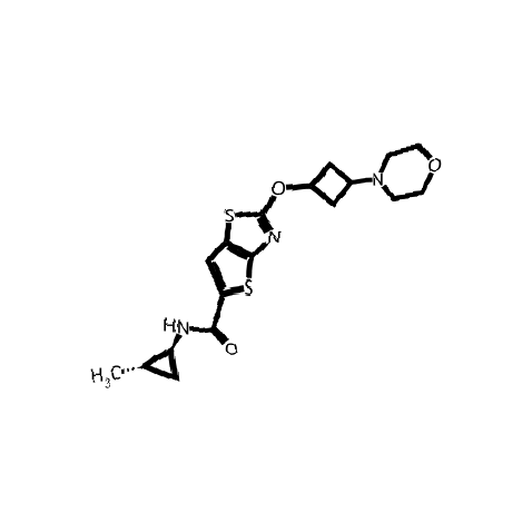 C[C@H]1C[C@@H]1NC(=O)c1cc2sc(OC3CC(N4CCOCC4)C3)nc2s1